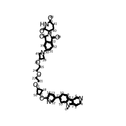 Cn1c2ccncc2c2ccc(-c3ccc(O[C@H]4C[C@H](OCCOCCOC5CN(c6ccc7c(c6)C(=O)N(C6CCC(=O)NC6=O)C7=O)C5)C4)nc3)cc21